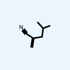 C=C(C#N)CC(C)C